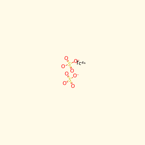 O=S(=O)([O-])[O-].O=S(=O)([O-])[O-].[Tc+4]